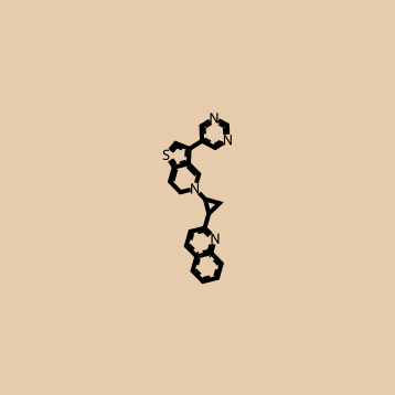 C1=c2scc(-c3cncnc3)c2=CN(C2CC2c2ccc3ccccc3n2)C1